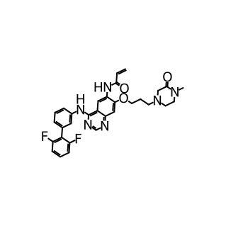 C=CC(=O)Nc1cc2c(Nc3cccc(-c4c(F)cccc4F)c3)ncnc2cc1OCCCN1CCN(C)C(=O)C1